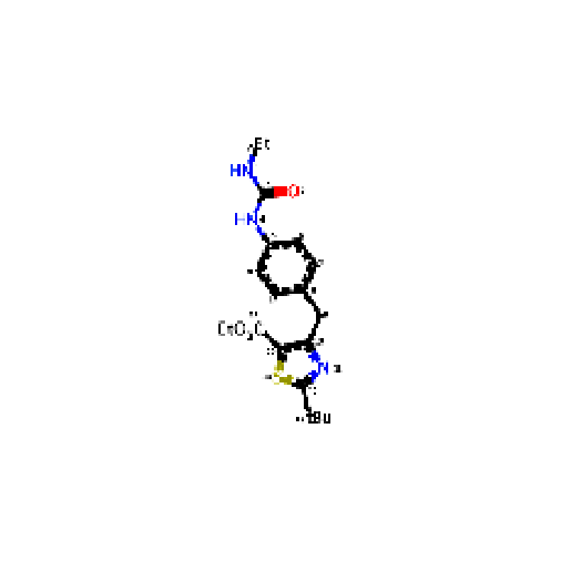 CCNC(=O)Nc1ccc(Cc2nc(C(C)(C)C)sc2C(=O)OCC)cc1